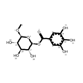 CO[C@H]1O[C@@H](OC(=O)c2cc(O)c(O)c(O)c2)[C@H](O)[C@@H](O)[C@@H]1O